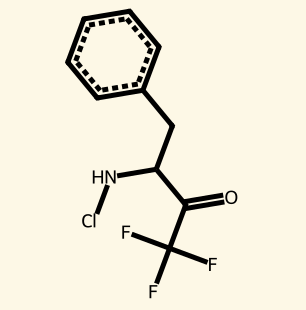 O=C(C(Cc1ccccc1)NCl)C(F)(F)F